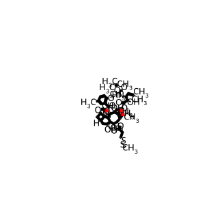 COc1ccc(C)cc1C(=O)O[C@H]1[C@@H]2[C@]3(OC(C)=O)CC[C@@H]3C[C@H](O)[C@@]2(C)C(=O)[C@H](OC(=O)CCSSC)C2=C(C)[C@@H](OC(=O)[C@H](O)[C@H](C=C(C)C)NC(=O)OC(C)(C)C)C[C@]1(O)C2(C)C